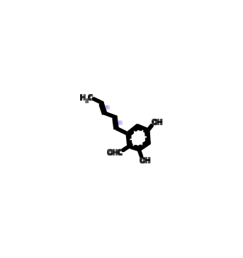 C/C=C/C=C/c1cc(O)cc(O)c1C=O